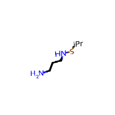 CC(C)SNCCCN